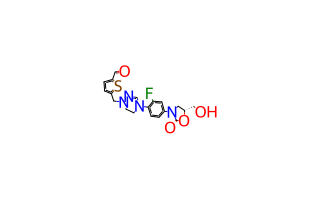 O=Cc1ccc(CN2CCN(c3ccc(N4C[C@H](CO)OC4=O)cc3F)C=N2)s1